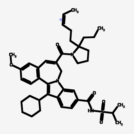 C/C=C\CCC1(CCC)CCCN1C(=O)C1=Cc2cc(OC)ccc2-c2c(C3CCCCC3)c3ccc(C(=O)NS(=O)(=O)C(C)C)cc3n2C1